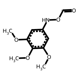 COc1cc(NO[C]=O)cc(OC)c1OC